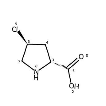 O=C(O)[C@H]1C[C@H](Cl)CN1